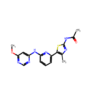 COc1cc(Nc2cccc(-c3sc(NC(C)=O)nc3C)n2)ncn1